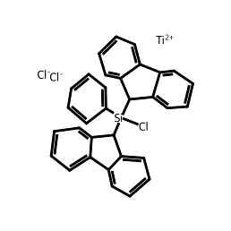 Cl[Si](c1ccccc1)(C1c2ccccc2-c2ccccc21)C1c2ccccc2-c2ccccc21.[Cl-].[Cl-].[Ti+2]